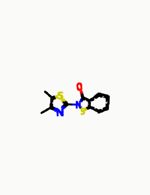 Cc1nc(-n2sc3ccccc3c2=O)sc1C